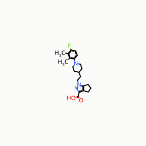 Cc1c(F)ccc(N2CCC(CCn3nc(C(=O)O)c4c3CCC4)CC2)c1C